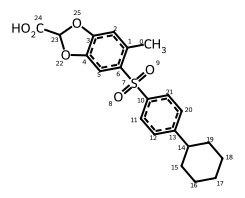 Cc1cc2c(cc1S(=O)(=O)c1ccc(C3CCCCC3)cc1)OC(C(=O)O)O2